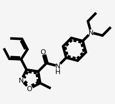 C/C=C\C(=C/C)c1noc(C)c1C(=O)Nc1ccc(N(CC)CC)cc1